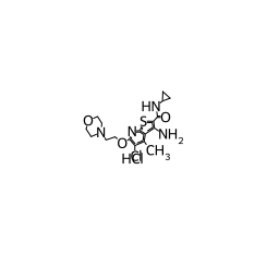 Cc1c(Cl)c(OCCN2CCOCC2)nc2sc(C(=O)NC3CC3)c(N)c12.Cl